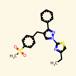 CCc1csc(-n2cc(Cc3ccc(S(C)(=O)=O)cc3)c(-c3ccccc3)n2)n1